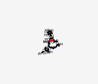 CCC1/C=C(\C)C(O)C/C=C/C=C(\COC2OC(C)C(OC(=O)c3c(C)c(Cl)c(O)c(Cl)c3O)C(O)C2OC)C(=O)OC(C(C)O)C/C=C(C)/C=C(\C)C1OC1OC(C)(C)C(OC(=O)CC(C)C)C(O)C1O